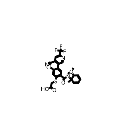 COC1C=CC=CC1(C)N(C)C(=O)c1cc(-c2cnc(C(F)(F)F)cc2C#N)c(Cl)cc1SCC(=O)O